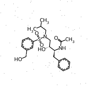 CC(=O)N[C@@H](Cc1ccccc1)[C@H](O)CN(CC(C)C)S(=O)(=O)c1cccc(CO)c1